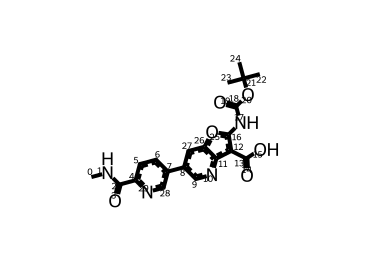 CNC(=O)c1ccc(-c2cnc3c(C(=O)O)c(NC(=O)OC(C)(C)C)oc3c2)cn1